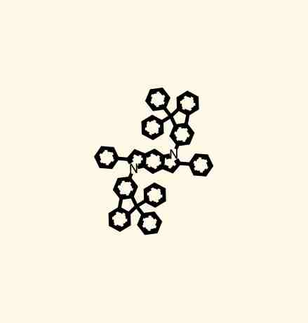 c1ccc(-c2cc3cc4c(cc(-c5ccccc5)n4-c4ccc5c(c4)C(c4ccccc4)(c4ccccc4)c4ccccc4-5)cc3n2-c2ccc3c(c2)C(c2ccccc2)(c2ccccc2)c2ccccc2-3)cc1